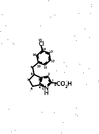 O=C(O)c1cc2c([nH]1)CCC2Cc1cccc(Cl)c1